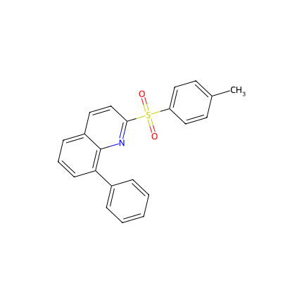 Cc1ccc(S(=O)(=O)c2ccc3cccc(-c4ccccc4)c3n2)cc1